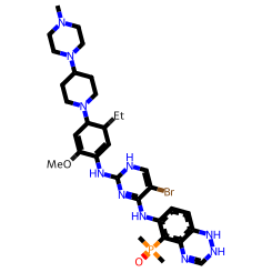 CCC1C=C(NC2N=C(Nc3ccc4c(c3P(C)(C)=O)N=CNN4)C(Br)=CN2)C(OC)=CC1N1CCC(N2CCN(C)CC2)CC1